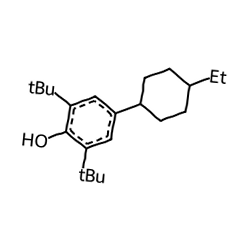 CCC1CCC(c2cc(C(C)(C)C)c(O)c(C(C)(C)C)c2)CC1